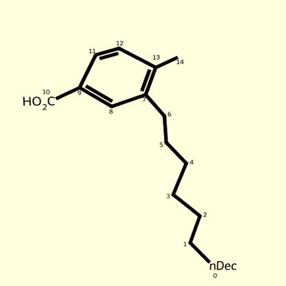 CCCCCCCCCCCCCCCCc1cc(C(=O)O)ccc1C